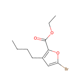 CCCCc1cc(Br)oc1C(=O)OCC